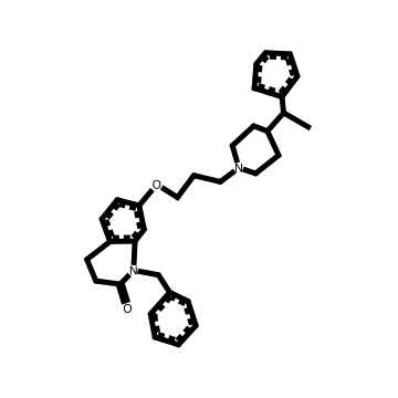 CC(c1ccccc1)C1CCN(CCCOc2ccc3c(c2)N(Cc2ccccc2)C(=O)CC3)CC1